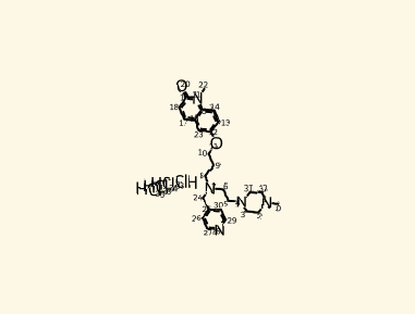 CN1CCN(CCN(CCCOc2ccc3c(ccc(=O)n3C)c2)Cc2ccncc2)CC1.Cl.Cl.Cl.Cl